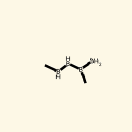 BB(C)BBC